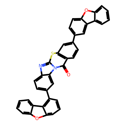 O=c1c2ccc(-c3ccc4oc5ccccc5c4c3)cc2sc2nc3ccc(-c4cccc5oc6ccccc6c45)cc3n12